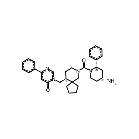 N[C@@H]1CCN(C(=O)N2CC[C@H](Cn3cnc(-c4ccccc4)cc3=O)C3(CCCC3)C2)[C@H](c2ccccc2)C1